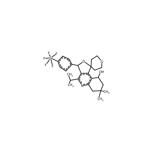 CC(C)c1nc2c(c3c1C(c1ccc(S(F)(F)(F)(F)F)cc1)OC31CCOCC1)C(O)CC(C)(C)C2